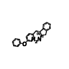 N[C@@H]1Cc2ccccc2[C@@H]1Cc1ccc(Oc2ccccc2)cc1